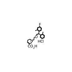 Cc1ccccc1/C(=C\OCCN1CCC=C(C(=O)O)C1)c1ccc(F)cc1C.Cl